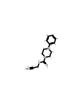 C#CCOC(=O)N1CCN(c2ccccc2)CC1